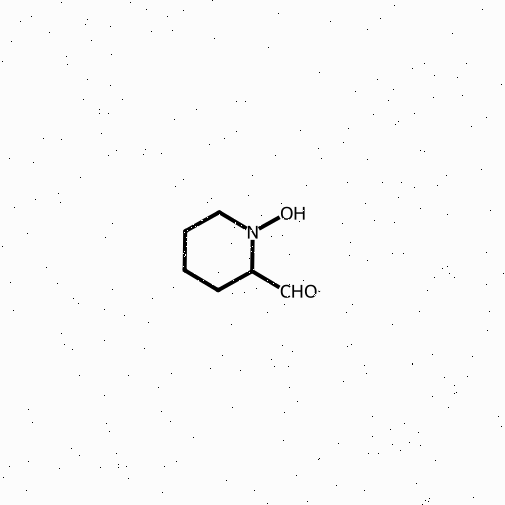 O=[C]C1CCCCN1O